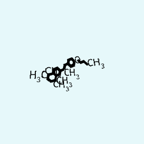 CCCCOc1ccc(/C=C(\C)c2ccc3c(c2)C(C)(C)CCC3(C)C)cc1